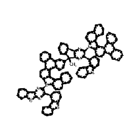 CC1(c2ccc3c(c2)c2ccccc2c2ccc4c(c23)c2c3ccccc3ccc2n4-c2nc3c(nc2-c2cccc4sc5ccccc5c24)oc2ccccc23)c2ccccc2-c2nc(-n3c4ccc5ccccc5c4c4c5c6ccccc6c6ccccc6c5ccc43)c(-c3cccc4sc5ccccc5c34)nc21